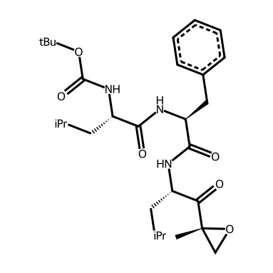 CC(C)C[C@H](NC(=O)OC(C)(C)C)C(=O)N[C@@H](Cc1ccccc1)C(=O)N[C@@H](CC(C)C)C(=O)[C@@]1(C)CO1